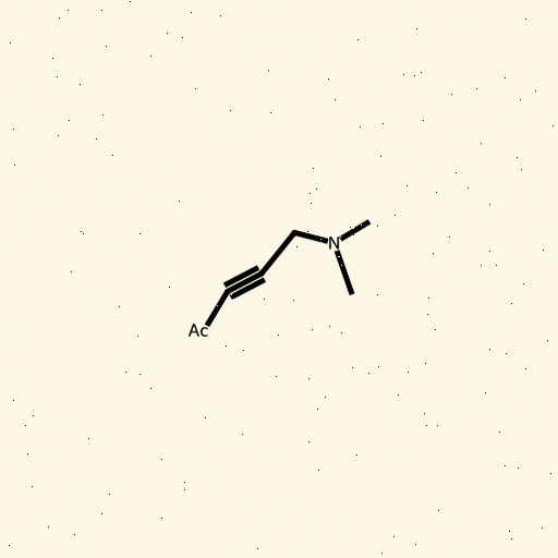 CC(=O)C#CCN(C)C